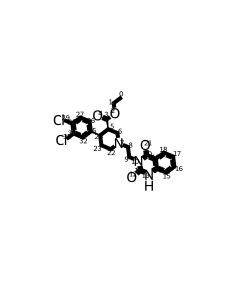 CCOC(=O)[C@H]1CN(CCn2c(=O)[nH]c3ccccc3c2=O)CC[C@H]1c1ccc(Cl)c(Cl)c1